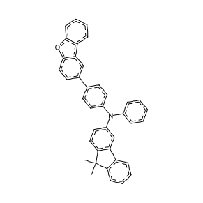 CC1(C)c2ccccc2-c2cc(N(c3ccccc3)c3ccc(-c4ccc5oc6ccccc6c5c4)cc3)ccc21